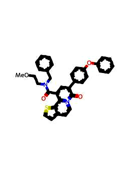 COCCN(Cc1ccccc1)C(=O)c1cc(-c2ccc(Oc3ccccc3)cc2)c(=O)n2ccc3ccsc3c12